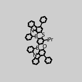 CC(C)c1c2c(cc3c1Sc1cc(-c4ccccc4)c4c5ccccc5n5c4c1B3c1ccccc1-5)B1c3ccccc3-n3c4ccccc4c4c(-c5ccccc5)cc(c1c43)O2